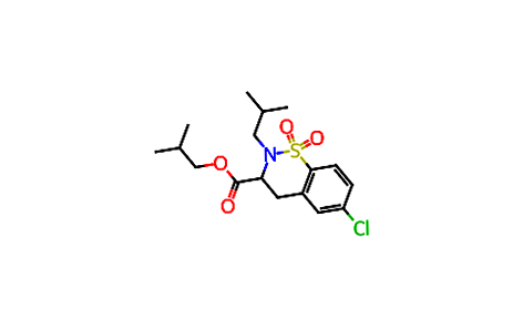 CC(C)COC(=O)C1Cc2cc(Cl)ccc2S(=O)(=O)N1CC(C)C